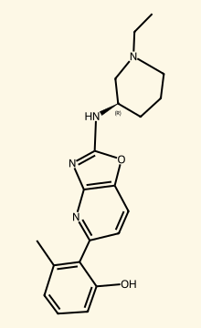 CCN1CCC[C@@H](Nc2nc3nc(-c4c(C)cccc4O)ccc3o2)C1